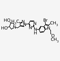 COCCn1c(C)c(Br)c2cc(Nc3nccc(-n4cc(CN5CC(O)C(O)C5)c(C)n4)n3)ccc21